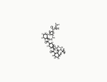 O=C(NC1CC1)c1cc2c(s1)-c1ccccc1N(C(=O)c1ccc(NC(=O)c3cccnc3N3CCC[C@H]3C(F)(F)F)cc1)CC2